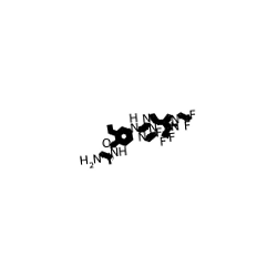 CCc1cc(Nc2nccn3c(-c4cn(CC(F)F)nc4C(F)(F)F)cnc23)ccc1C(=O)N[C@@H](C)CN